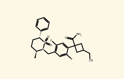 C[C@H]1CC[C@H](c2ccccc2)S(=O)(=O)N1Cc1cc(F)c(C2(C(N)=O)CC(CC#N)C2)cc1F